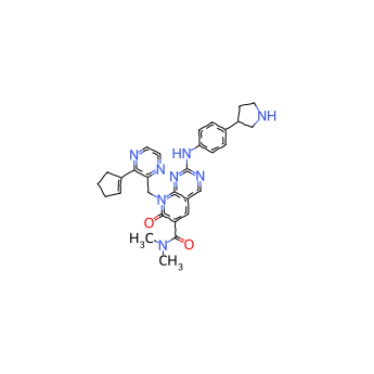 CN(C)C(=O)c1cc2cnc(Nc3ccc(C4CCNC4)cc3)nc2n(Cc2nccnc2C2=CCCC2)c1=O